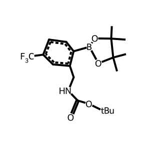 CC(C)(C)OC(=O)NCc1cc(C(F)(F)F)ccc1B1OC(C)(C)C(C)(C)O1